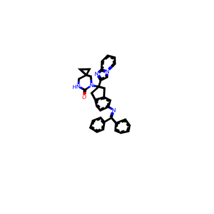 O=C1NCC2(CC2)CN1C1(c2cn3ccccc3n2)Cc2ccc(N=C(c3ccccc3)c3ccccc3)cc2C1